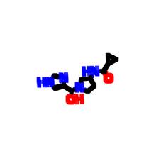 O=C(NC1CCN(C(O)c2c[nH]cn2)C1)C1CC1